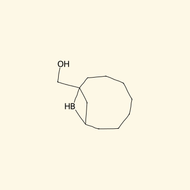 OCC12BC(CCCCCCC1)C2